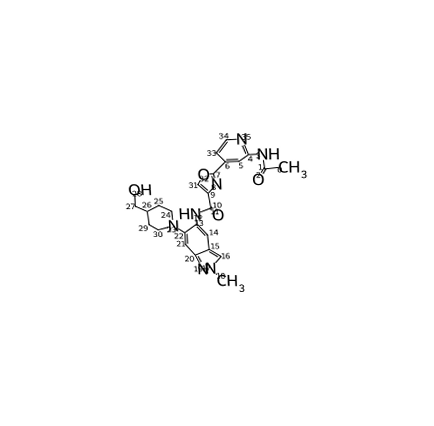 CC(=O)Nc1cc(-c2nc(C(=O)Nc3cc4cn(C)nc4cc3N3CCC(CO)CC3)co2)ccn1